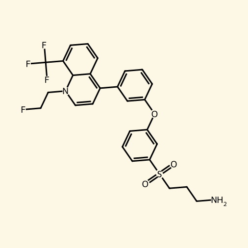 NCCCS(=O)(=O)c1cccc(Oc2cccc(C3=C4C=CC=C(C(F)(F)F)C4N(CCF)C=C3)c2)c1